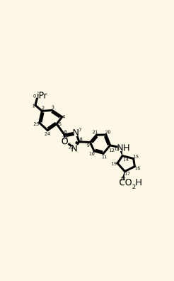 CC(C)Cc1ccc(-c2nc(-c3ccc(N[C@H]4CC[C@@H](C(=O)O)C4)cc3)no2)cc1